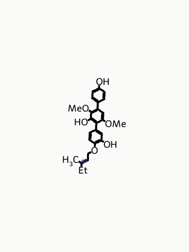 CC/C(C)=C/COc1ccc(-c2c(OC)cc(-c3ccc(O)cc3)c(OC)c2O)cc1O